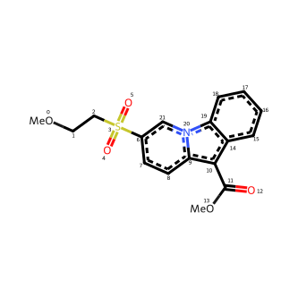 COCCS(=O)(=O)c1ccc2c(C(=O)OC)c3ccccc3n2c1